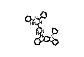 c1ccc(C2=NC(c3ccccc3)NC(c3cnc(-n4c5ccccc5c5cc6c7ccccc7n(-c7ccccc7)c6cc54)nc3)=N2)cc1